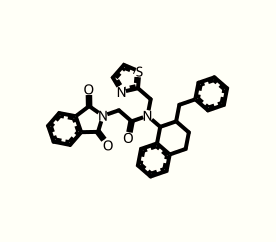 O=C1c2ccccc2C(=O)N1CC(=O)N(Cc1nccs1)C1c2ccccc2CCC1Cc1ccccc1